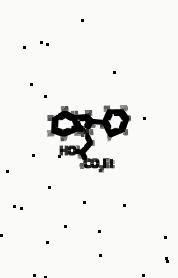 CCOC(=O)C(O)Cn1c(-c2ccccc2)cc2ccccc21